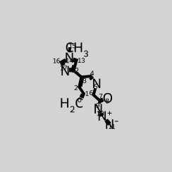 C=C/C=C(\C=N/CC(=O)N=[N+]=[N-])c1cn(C)cn1